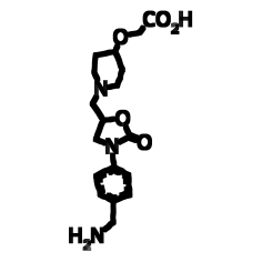 NCc1ccc(N2CC(CN3CCC(OCC(=O)O)CC3)OC2=O)cc1